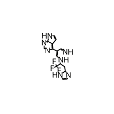 N=C/C(=C\NC(Cc1ncc[nH]1)C(F)(F)F)c1ncnc2[nH]ccc12